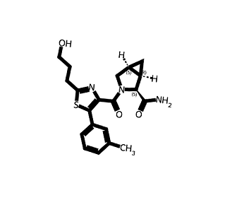 Cc1cccc(-c2sc(CCCO)nc2C(=O)N2C[C@H]3C[C@H]3[C@H]2C(N)=O)c1